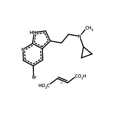 CN(CCc1c[nH]c2ncc(Br)cc12)C1CC1.O=C(O)/C=C/C(=O)O